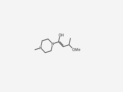 COC(C)/C=C(\O)N1CCN(C)CC1